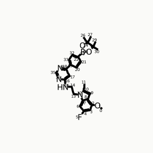 COc1cc(F)cc2c1cc(C)n2CCNc1cc(-c2ccc(B3OC(C)(C)C(C)(C)O3)cc2)ncn1